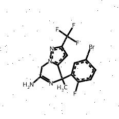 CC1(c2cc(Br)ccc2F)N=C(N)Cn2nc(C(F)(F)F)cc21